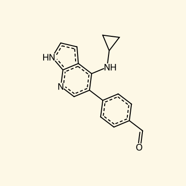 O=Cc1ccc(-c2cnc3[nH]ccc3c2NC2CC2)cc1